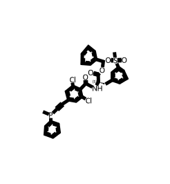 CP(C#Cc1cc(Cl)c(C(=O)N[C@@H](Cc2cccc(S(C)(=O)=O)c2)C(=O)OCc2ccccc2)c(Cl)c1)c1ccccc1